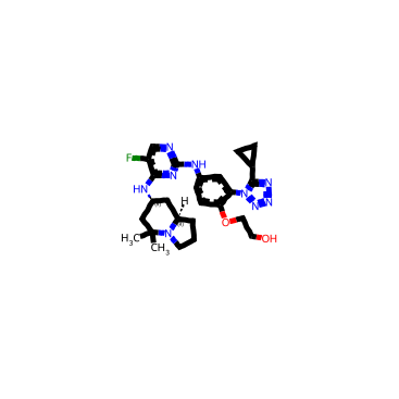 CC1(C)C[C@H](Nc2nc(Nc3ccc(OCCO)c(-n4nnnc4C4CC4)c3)ncc2F)C[C@H]2CCCN21